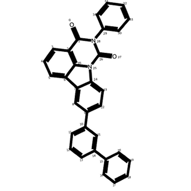 O=c1c2cccc3c4cc(-c5cccc(-c6ccccc6)c5)ccc4n(c(=O)n1-c1ccccc1)c23